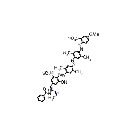 C/C=C\C(=C/c1cc(O)c(N=Nc2cc(C)c(N=Nc3cc(C)c(N=Nc4ccc(OC)cc4S(=O)(=O)O)cc3C)cc2C)c(S(=O)(=O)O)c1)NC(=O)c1ccccc1